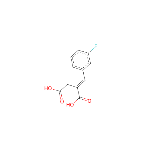 O=C(O)C/C(=C\c1cccc(F)c1)C(=O)O